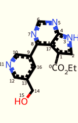 CCOC(=O)c1c[nH]c2ncnc(-c3cncc(CO)c3)c12